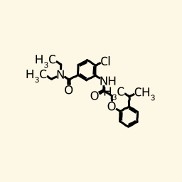 CCN(CC)C(=O)c1ccc(Cl)c(NC(=O)COc2ccccc2C(C)C)c1